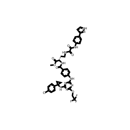 COC(=O)[C@H](CCNC(=O)C(=O)Nc1ccc(-c2cc[nH]n2)cc1)NC(=O)c1ccc(Nc2nc(NC3(c4ccc(Cl)cc4)CC3)nc(OCC(F)(F)F)n2)cc1